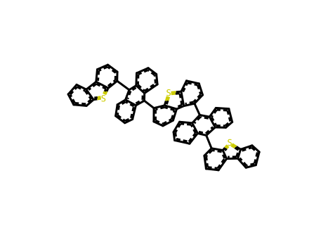 c1ccc2c(c1)sc1c(-c3c4ccccc4c(-c4cccc5c4sc4cccc(-c6c7ccccc7c(-c7cccc8c7sc7ccccc78)c7ccccc67)c45)c4ccccc34)cccc12